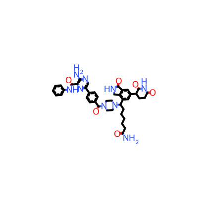 NC(=O)CCCCCC(c1cc(C2CCC(=O)NC2=O)cc2c1CNC2=O)N1CCN(C(=O)c2ccc(-c3cnc(N)c(C(=O)Nc4ccccc4)n3)cc2)CC1